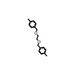 Cc1ccc(COCCOCc2ccc(C)cc2)cc1